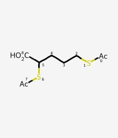 CC(=O)SCCCC(SC(C)=O)C(=O)O